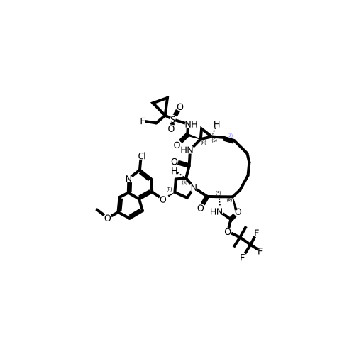 COc1ccc2c(O[C@@H]3C[C@H]4C(=O)N[C@]5(C(=O)NS(=O)(=O)C6(CF)CC6)C[C@H]5/C=C\CCCC[C@@H](C)[C@H](NC(=O)OC(C)(C)C(F)(F)F)C(=O)N4C3)cc(Cl)nc2c1